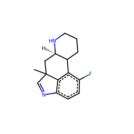 CC12C=Nc3ccc(F)c(c31)C1CCCN[C@@H]1C2